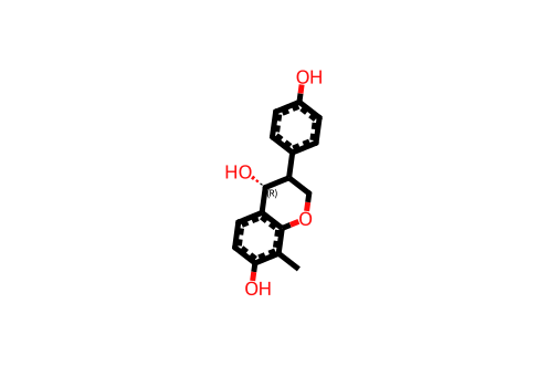 Cc1c(O)ccc2c1OCC(c1ccc(O)cc1)[C@H]2O